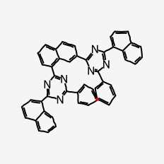 c1ccc(-c2nc(-c3ccc4cccc(-c5nc(-c6ccccc6)nc(-c6cccc7ccccc67)n5)c4c3)nc(-c3cccc4ccccc34)n2)cc1